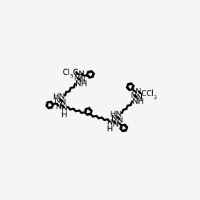 ClC(Cl)(Cl)c1nc(NCCCCCCNc2nc(NCCCCCCc3c[c]cc(CCCCCCNc4nc(NCCCCCCNc5nc(-c6ccccc6)nc(C(Cl)(Cl)Cl)n5)nc(-c5ccccc5)n4)c3)nc(-c3ccccc3)n2)nc(-c2ccccc2)n1